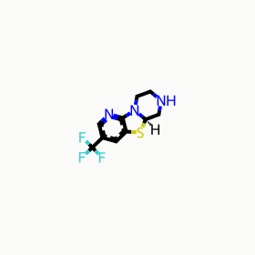 FC(F)(F)c1cnc2c(c1)S[C@@H]1CNCCN21